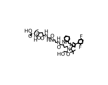 CC(C)(C)[C@H](c1cc(-c2cc(F)ccc2F)cn1Cc1ccccc1)N(CC[C@H](N)C(=O)NCCNC(=O)CNC(=O)CC1SC[C@@H](C(=O)O)NC1=O)C(=O)CO